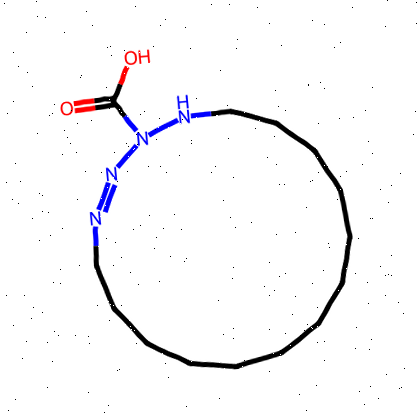 O=C(O)N1N=NCCCCCCCCCCCCCN1